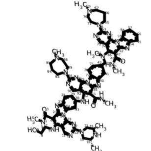 CNC(=O)c1c(NCCO)c2cnc(N3C[C@@H](C)N[C@@H](C)C3)nc2n2c1nc1ccc(Nc3c(C(=O)NC)c4nc5cc(CN(C)c6c(C(=O)NC)c7nc8ccccc8n7c7nc(N8CCCN(C)CC8)ncc67)ccc5n4c4nc(N5CCCN(C)CC5)ncc34)cc12